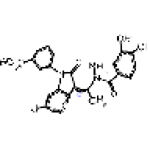 C/C(=C1/C(=O)N(c2cccc(C(=O)O)c2)c2cc(Cl)ccc21)N(N)C(=O)c1ccc(O)c(O)c1